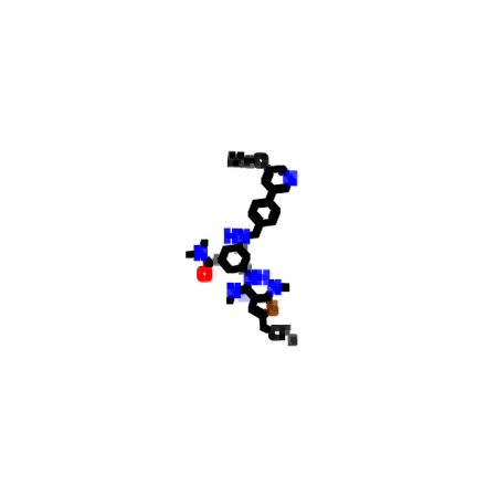 C=Nc1sc(CC(F)(F)F)cc1/C(=N\C)N[C@H]1C[C@@H](NCc2ccc(-c3cncc(OC)c3)cc2)C[C@@H](C(=O)N(C)C)C1